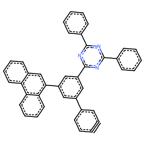 c1ccc(-c2cc(-c3nc(-c4ccccc4)nc(-c4ccccc4)n3)cc(-c3cc4ccccc4c4ccccc34)c2)cc#1